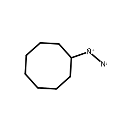 [N][N+]C1CCCCCCC1